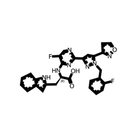 O=C(O)[C@@H](Cc1cc2ccccc2[nH]1)Nc1nc(-c2cc(-c3ccon3)n(Cc3ccccc3F)n2)ncc1F